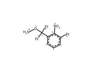 CCc1cccc(C(CC)(CC)O[SiH3])c1[N+](=O)[O-]